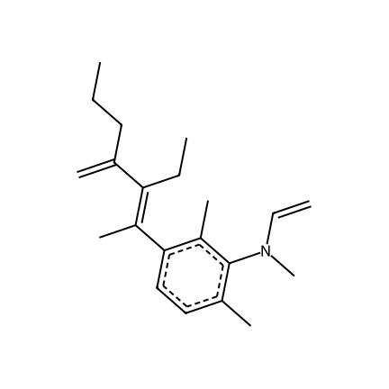 C=CN(C)c1c(C)ccc(/C(C)=C(\CC)C(=C)CCC)c1C